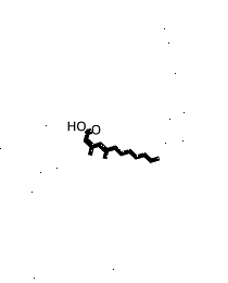 CCCCCCC/C(C)=C/C(C)=C\C(=O)O